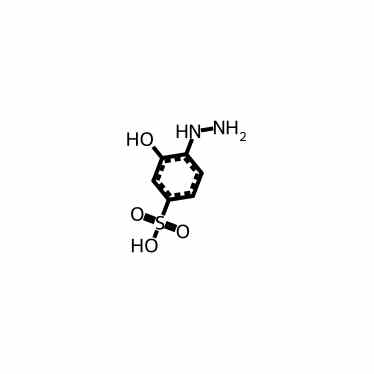 NNc1ccc(S(=O)(=O)O)cc1O